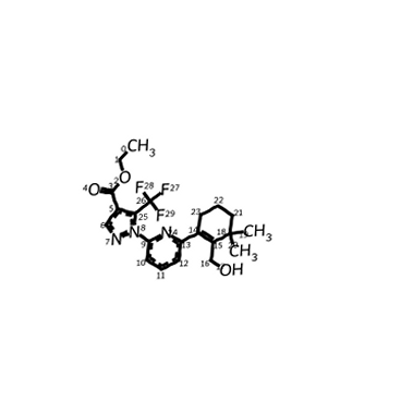 CCOC(=O)c1cnn(-c2cccc(C3=C(CO)C(C)(C)CCC3)n2)c1C(F)(F)F